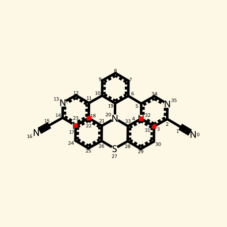 N#Cc1cnc(-c2cccc(-c3cnc(C#N)nc3)c2N2c3ccccc3Sc3ccccc32)cn1